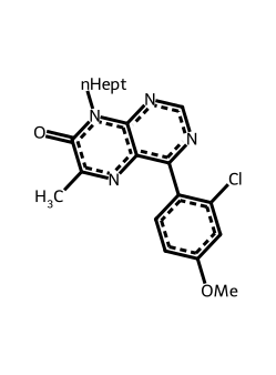 CCCCCCCn1c(=O)c(C)nc2c(-c3ccc(OC)cc3Cl)ncnc21